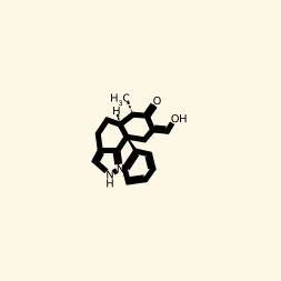 C[C@@H]1C(=O)/C(=C\O)C[C@]2(c3ccccc3)c3n[nH]cc3CC[C@@H]12